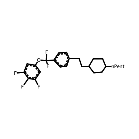 CCCCCC1CCC(CCc2ccc(C(F)(F)Oc3cc(F)c(F)c(F)c3)cc2)CC1